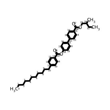 CCCCCCCCCCCc1ccc(C(=O)Oc2ccc(-c3ccc(C(=O)OCC(C)CC)cc3)cc2)cc1